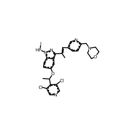 C/C(=C\c1ccc(CN2CCOCC2)nc1)c1nn(PI)c2ccc(OC(C)c3c(Cl)cncc3Cl)cc12